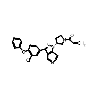 C=CC(=O)N1CC[C@@H](n2nc(-c3ccc(Oc4ccccc4)c(Cl)c3)c3cnccc32)C1